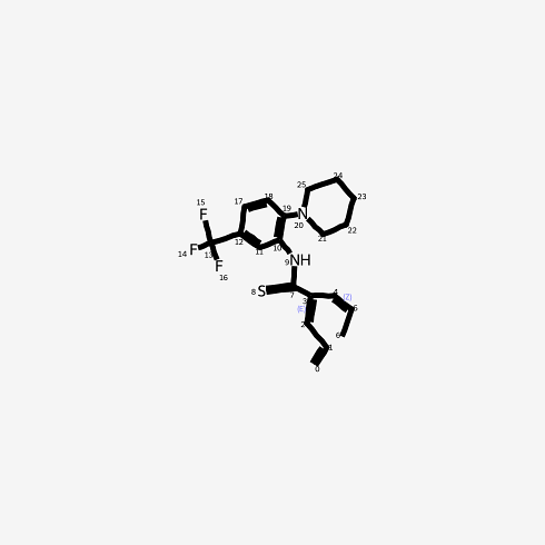 C=C/C=C(\C=C/C)C(=S)Nc1cc(C(F)(F)F)ccc1N1CCCCC1